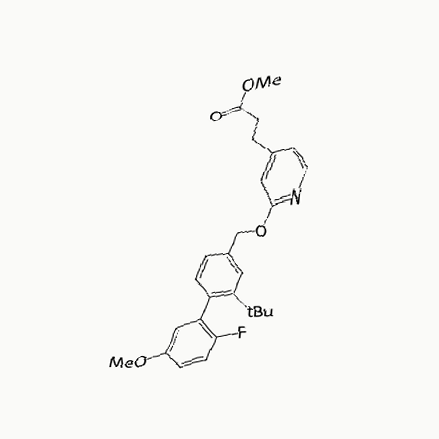 COC(=O)CCc1ccnc(OCc2ccc(-c3cc(OC)ccc3F)c(C(C)(C)C)c2)c1